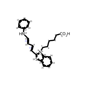 O=C(O)CCCCC[n+]1c(/C=C/C=C/Nc2ccccc2)sc2ccccc21